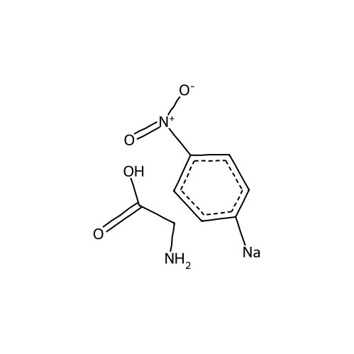 NCC(=O)O.O=[N+]([O-])c1cc[c]([Na])cc1